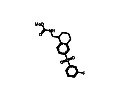 COC(=O)NCC1CCCc2cc(S(=O)(=O)c3cccc(F)c3)ccc21